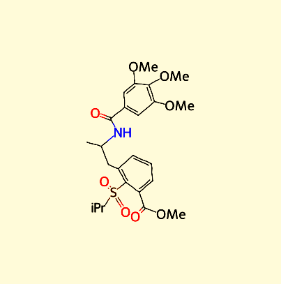 COC(=O)c1cccc(CC(C)NC(=O)c2cc(OC)c(OC)c(OC)c2)c1S(=O)(=O)C(C)C